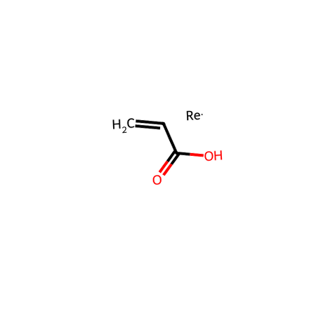 C=CC(=O)O.[Re]